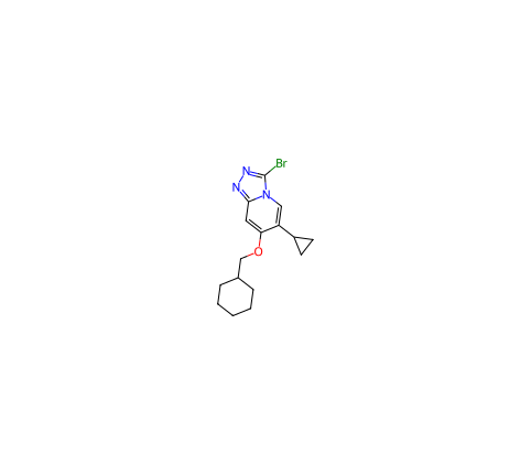 Brc1nnc2cc(OCC3CCCCC3)c(C3CC3)cn12